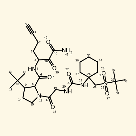 C#CCCC(NC(=O)C1C(C(C)(C)C)CCN1C(=O)CNC(=O)NC1(CS(=O)(=O)C(C)(C)C)CCCCC1)C(=O)C(N)=O